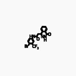 O=C(Cc1n[nH]c(=O)c2ccccc12)Nc1ccc(Br)c(C(F)(F)F)c1